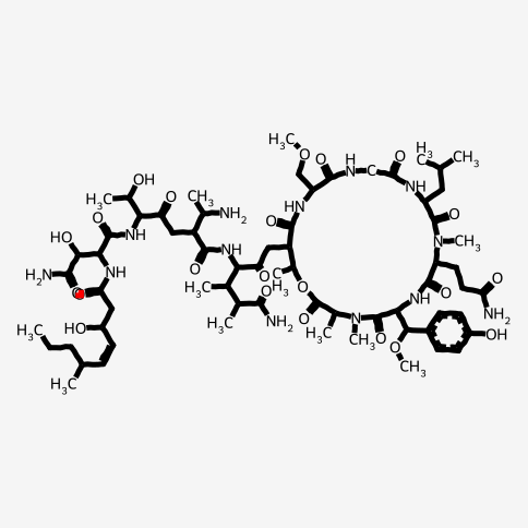 CCCC(C)/C=C\C(O)CC(=O)NC(C(=O)NC(C(=O)CC(C(=O)NC(C(=O)CC1C(=O)NC(COC)C(=O)NCC(=O)NC(CC(C)C)C(=O)N(C)C(CCC(N)=O)C(=O)NC(C(OC)c2ccc(O)cc2)C(=O)N(C)C(C)C(=O)OC1C)C(C)C(C)C(N)=O)C(C)N)C(C)O)C(O)C(N)=O